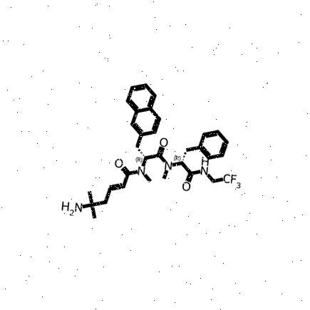 CN(C(=O)C=CCC(C)(C)N)[C@H](Cc1ccc2ccccc2c1)C(=O)N(C)[C@H](Cc1ccccc1)C(=O)NCC(F)(F)F